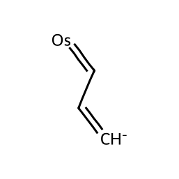 [CH-]=C[CH]=[Os]